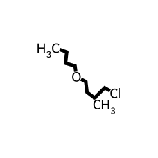 CCCCOCCC(C)CCl